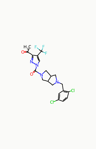 CC(=O)c1nn(C(=O)N2CC3CN(Cc4cc(Cl)ccc4Cl)CC3C2)cc1C(F)(F)F